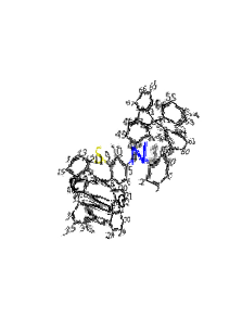 c1ccc(N(c2ccc3c(c2)Sc2ccccc2C32c3ccccc3[Si](c3ccccc3)(c3ccccc3)c3ccccc32)c2ccc3c(c2)C(c2ccccc2)(c2ccccc2)c2ccccc2-3)cc1